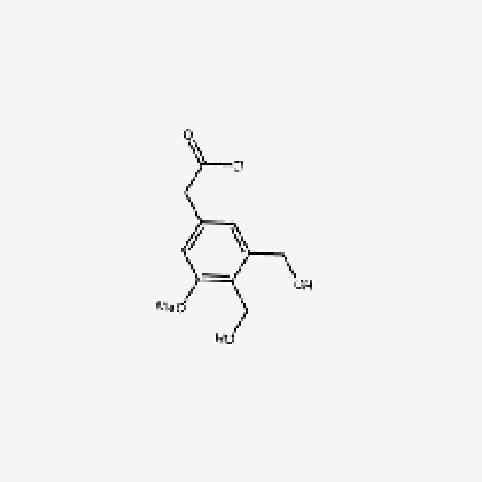 COc1cc(CC(=O)Cl)cc(CO)c1CO